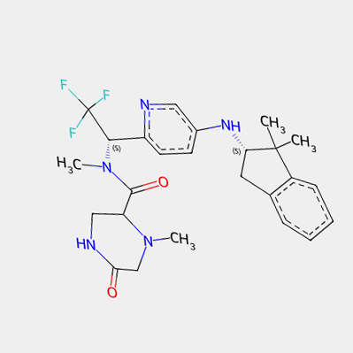 CN1CC(=O)NCC1C(=O)N(C)[C@@H](c1ccc(N[C@H]2Cc3ccccc3C2(C)C)cn1)C(F)(F)F